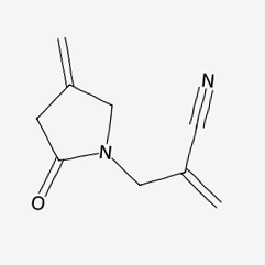 C=C(C#N)CN1CC(=C)CC1=O